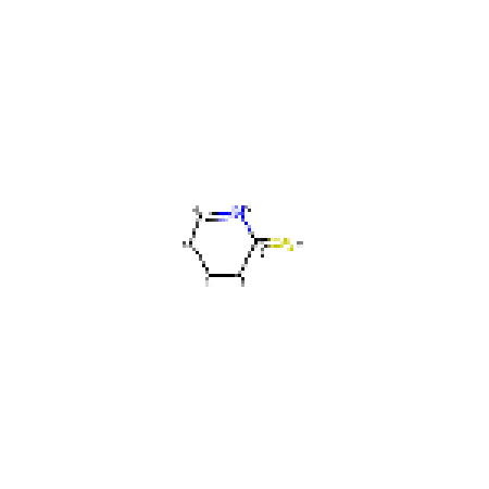 S=C1CCCC=N1